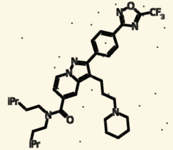 CC(C)CCN(CCC(C)C)C(=O)c1ccn2nc(-c3ccc(-c4noc(C(F)(F)F)n4)cc3)c(CCCN3CCCCC3)c2c1